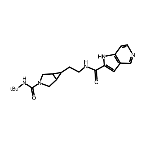 CC(C)(C)NC(=O)N1CC2C(CCNC(=O)c3cc4cnccc4[nH]3)C2C1